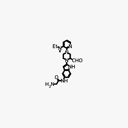 CCN(C)c1cccnc1N1CCN(c2cc3cc(NC(=O)CN)ccc3[nH]2)C(C=O)C1